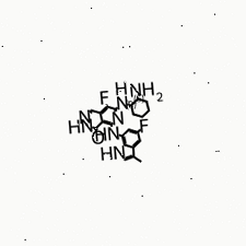 Cc1c[nH]c2c(Nc3nc(N[C@@H]4CCCC[C@@H]4N)c(F)c4cn[nH]c(=O)c34)cc(F)cc12